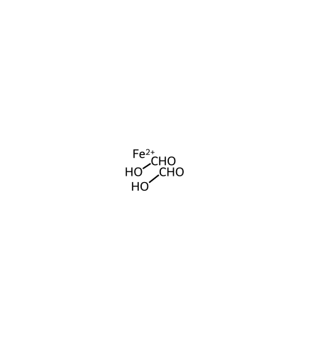 O=[C-]O.O=[C-]O.[Fe+2]